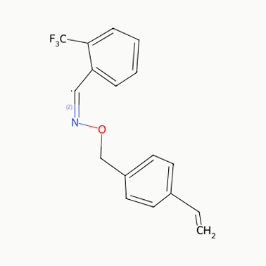 C=Cc1ccc(CO/N=[C]\c2ccccc2C(F)(F)F)cc1